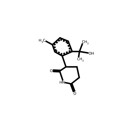 Cc1ccc(C(C)(C)O)c(C2CCC(=O)NC2=O)c1